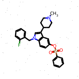 CN1CCC(c2cn(Cc3ccccc3F)c3ccc(OS(=O)(=O)c4ccccc4)cc23)CC1